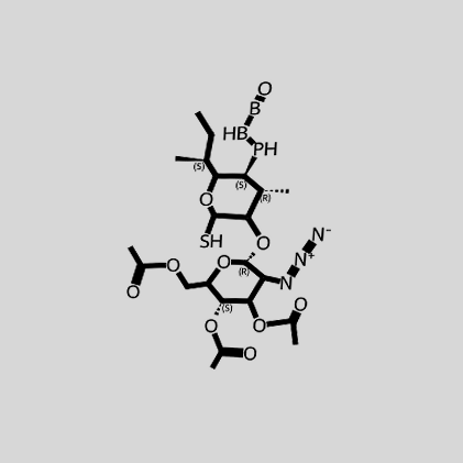 CC[C@H](C)C1OC(S)C(O[C@H]2OC(COC(C)=O)[C@@H](OC(C)=O)C(OC(C)=O)C2N=[N+]=[N-])[C@@H](C)[C@@H]1PBB=O